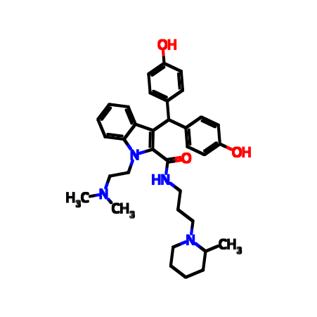 CC1CCCCN1CCCNC(=O)c1c(C(c2ccc(O)cc2)c2ccc(O)cc2)c2ccccc2n1CCN(C)C